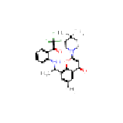 Cc1cc(C(C)Nc2ccccc2C(=O)C(F)(F)F)c2oc(N3CCC(C)(C)CC3)cc(=O)c2c1